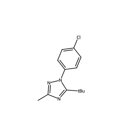 Cc1nc(C(C)(C)C)n(-c2ccc(Cl)cc2)n1